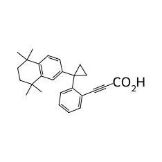 CC1(C)CCC(C)(C)c2cc(C3(c4ccccc4C#CC(=O)O)CC3)ccc21